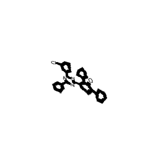 Clc1cccc(-c2nc(-c3ccccc3)nc(-c3ccc(-c4ccccc4)c4oc5ccccc5c34)n2)c1